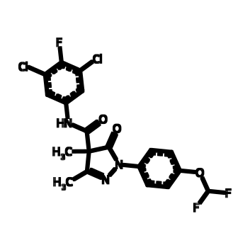 CC1=NN(c2ccc(OC(F)F)cc2)C(=O)C1(C)C(=O)Nc1cc(Cl)c(F)c(Cl)c1